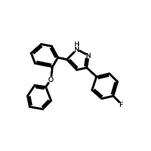 Fc1ccc(-c2cc(-c3ccccc3Oc3ccccc3)[nH]n2)cc1